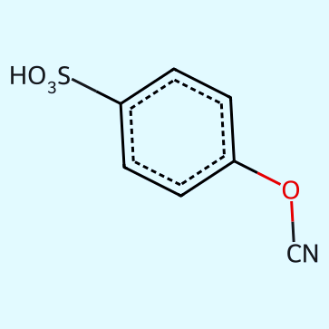 N#COc1ccc(S(=O)(=O)O)cc1